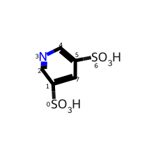 O=S(=O)(O)c1cncc(S(=O)(=O)O)c1